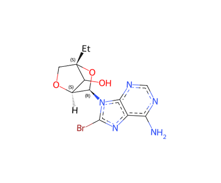 CC[C@]12CO[C@@H](C1O)[C@H](n1c(Br)nc3c(N)ncnc31)O2